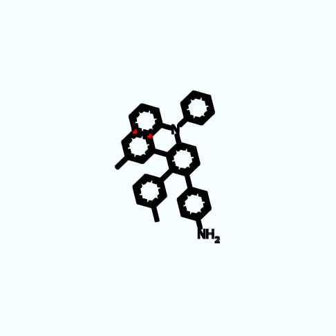 Cc1cccc(-c2c(-c3ccc(N)cc3)ccc(N(c3ccccc3)c3ccccc3)c2-c2cccc(C)c2)c1